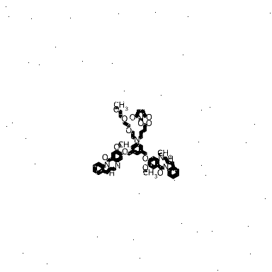 COCCOCCOCCN(CCCC(=O)ON1C(=O)CCC1=O)c1cc(COc2cc3c(cc2OC)C(=O)N2c4ccccc4C[C@H]2C=N3)cc(COc2cc3c(cc2OC)C(=O)N2c4ccccc4C[C@H]2CN3C)c1